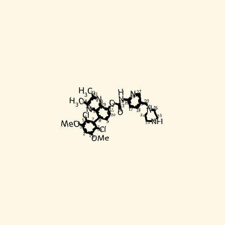 COc1cc(OC)c(Cl)c(-c2ccc(OC(=O)Nc3ccc(CN4CCNCC4)cn3)c3nc(C)c(C)nc23)c1Cl